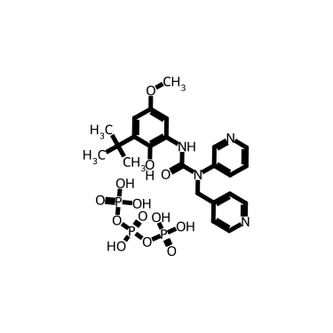 COc1cc(NC(=O)N(Cc2ccncc2)c2cccnc2)c(O)c(C(C)(C)C)c1.O=P(O)(O)OP(=O)(O)OP(=O)(O)O